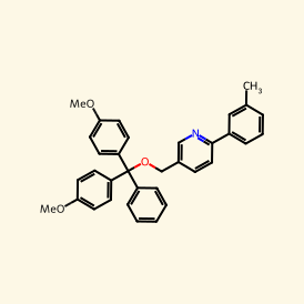 COc1ccc(C(OCc2ccc(-c3cccc(C)c3)nc2)(c2ccccc2)c2ccc(OC)cc2)cc1